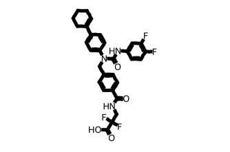 O=C(NCC(F)(F)C(=O)O)c1ccc(CN(C(=O)Nc2ccc(F)c(F)c2)c2ccc(C3=CCCCC3)cc2)cc1